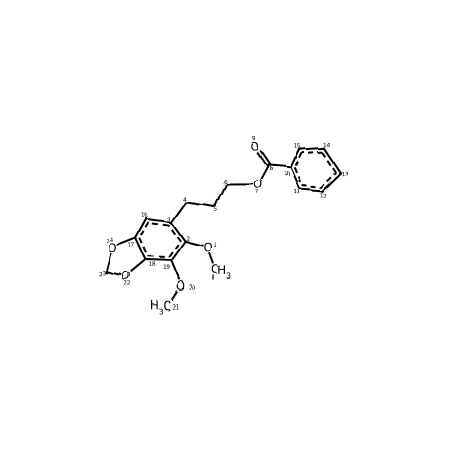 COc1c(CCCOC(=O)c2ccccc2)cc2c(c1OC)OCO2